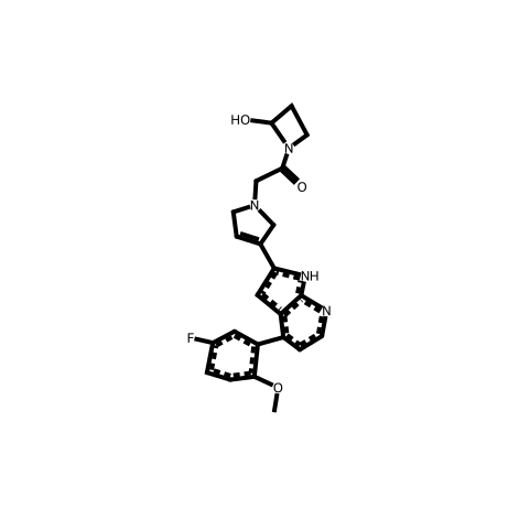 COc1ccc(F)cc1-c1ccnc2[nH]c(C3=CCN(CC(=O)N4CCC4O)C3)cc12